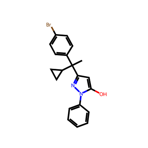 CC(c1ccc(Br)cc1)(c1cc(O)n(-c2ccccc2)n1)C1CC1